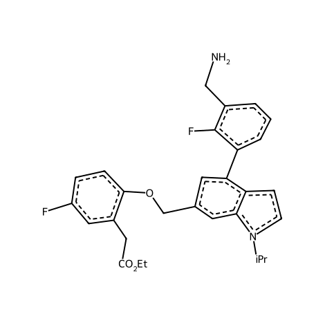 CCOC(=O)Cc1cc(F)ccc1OCc1cc(-c2cccc(CN)c2F)c2ccn(C(C)C)c2c1